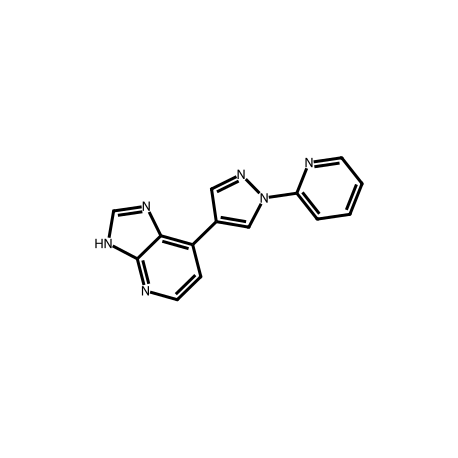 c1ccc(-n2cc(-c3ccnc4[nH]cnc34)cn2)nc1